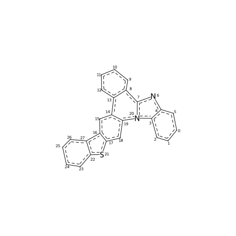 c1ccc2c(c1)nc1c3ccccc3c3cc4c(cc3n21)sc1ccccc14